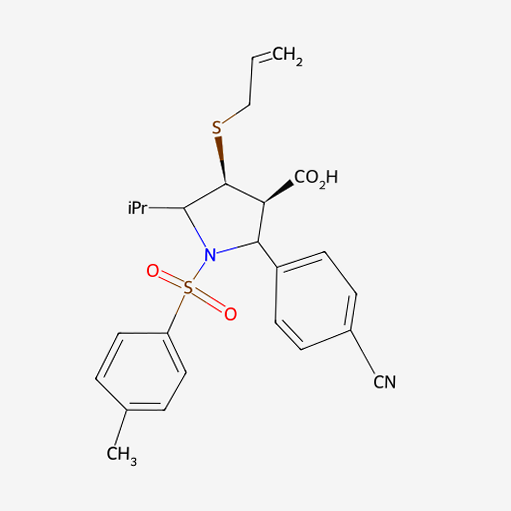 C=CCS[C@@H]1C(C(C)C)N(S(=O)(=O)c2ccc(C)cc2)C(c2ccc(C#N)cc2)[C@@H]1C(=O)O